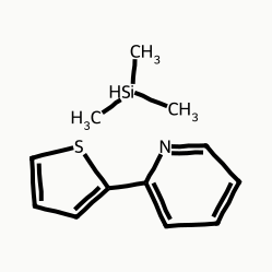 C[SiH](C)C.c1ccc(-c2cccs2)nc1